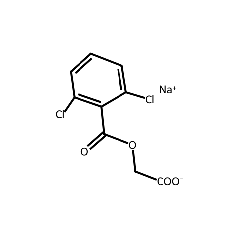 O=C([O-])COC(=O)c1c(Cl)cccc1Cl.[Na+]